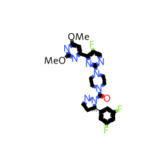 COc1cc(-c2nc(N3CCN(C(=O)N4N=CC[C@H]4c4cc(F)cc(F)c4)CC3)ncc2F)nc(OC)n1